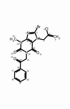 C=C(Cl)Cn1c(Br)nc2c1c(=O)n(CC(=O)c1ccccc1)c(=O)n2C